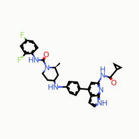 C[C@H]1CC(Nc2ccc(-c3cc(NC(=O)C4CC4)nc4[nH]ccc34)cc2)CCN1C(=O)Nc1ccc(F)cc1F